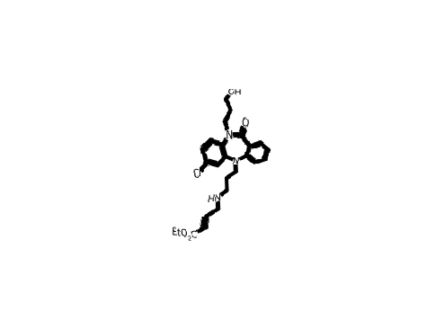 CCOC(=O)/C=C/CNCCCN1c2ccccc2C(=O)N(CCCO)c2ccc(Cl)cc21